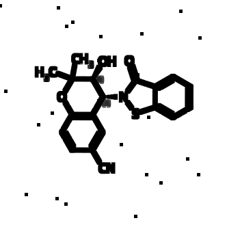 CC1(C)Oc2ccc(C#N)cc2[C@@H](n2sc3ccccc3c2=O)[C@@H]1O